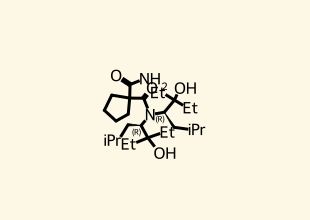 CCC(O)(CC)[C@@H](CC(C)C)N(C(=O)C1(C(N)=O)CCCC1)[C@H](CC(C)C)C(O)(CC)CC